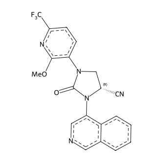 COc1nc(C(F)(F)F)ccc1N1C[C@H](C#N)N(c2cncc3ccccc23)C1=O